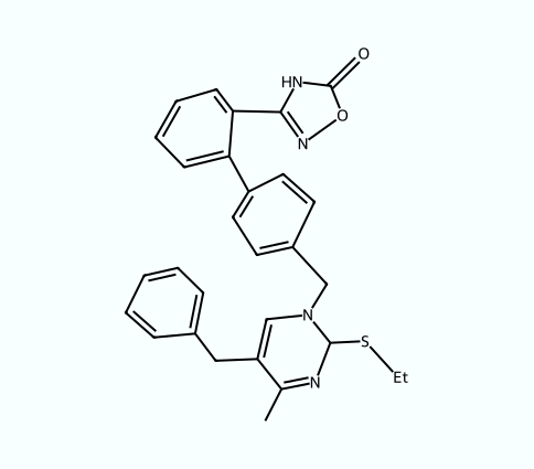 CCSC1N=C(C)C(Cc2ccccc2)=CN1Cc1ccc(-c2ccccc2-c2noc(=O)[nH]2)cc1